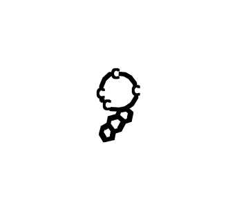 c1ccc2cc3c4c(ccc3cc2c1)CCCCCCCCCCCCCC4